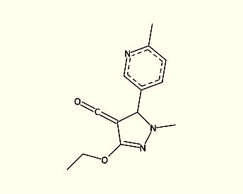 CCOC1=NN(C)C(c2ccc(C)nc2)C1=C=O